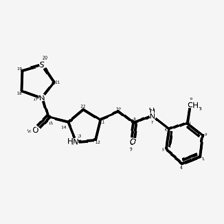 Cc1ccccc1NC(=O)CC1CNC(C(=O)N2CCSC2)C1